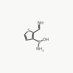 N=Cc1sccc1B(N)O